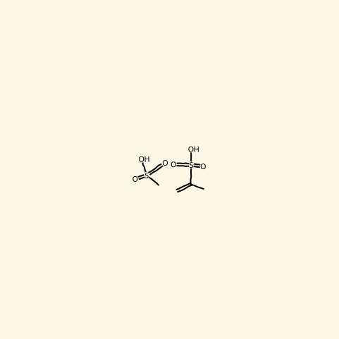 C=C(C)S(=O)(=O)O.CS(=O)(=O)O